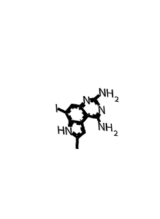 Cc1cc2c([nH]1)c(I)cc1nc(N)nc(N)c12